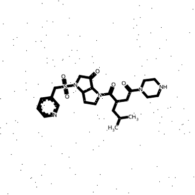 CC(C)CC(CC(=O)N1CCNCC1)C(=O)N1CCC2C1C(=O)CN2S(=O)(=O)Cc1cccnc1